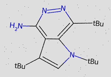 CC(C)(C)c1cn(C(C)(C)C)c2c(C(C)(C)C)nnc(N)c12